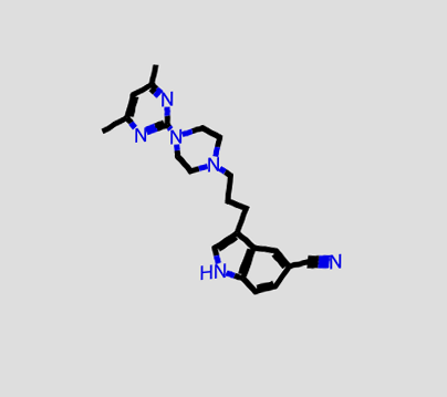 Cc1cc(C)nc(N2CCN(CCCc3c[nH]c4ccc(C#N)cc34)CC2)n1